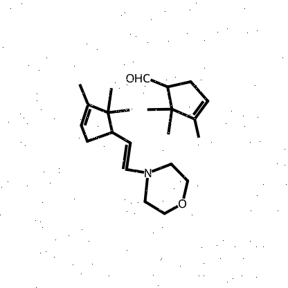 CC1=CCC(/C=C/N2CCOCC2)C1(C)C.CC1=CCC(C=O)C1(C)C